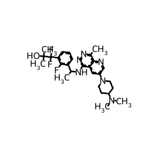 Cc1nnc(NC(C)c2cccc(C(F)(F)C(C)(C)O)c2F)c2cc(N3CCC(N(C)C)CC3)cnc12